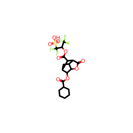 O=C(OC1C2CC3C1OC(=O)C3C2C(=O)OC(C(F)(F)F)C(F)(F)S(=O)(=O)O)C1CCCCC1